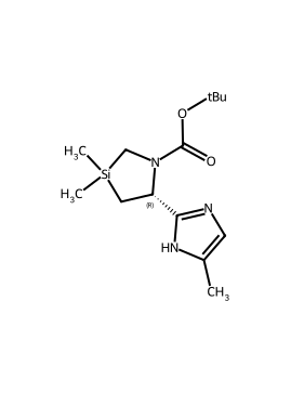 Cc1cnc([C@@H]2C[Si](C)(C)CN2C(=O)OC(C)(C)C)[nH]1